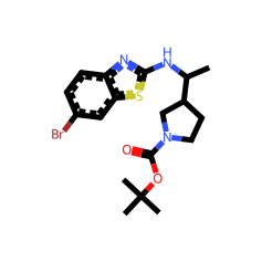 CC(Nc1nc2ccc(Br)cc2s1)C1CCN(C(=O)OC(C)(C)C)C1